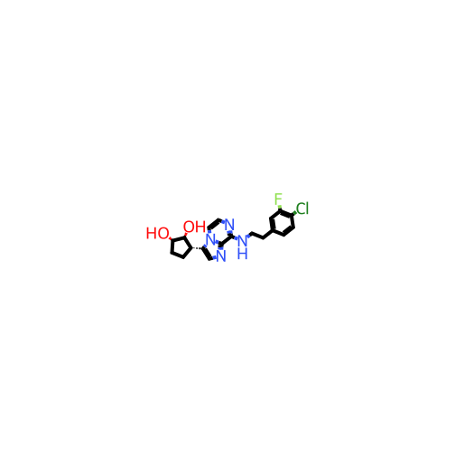 O[C@@H]1[C@H](O)CC[C@H]1c1cnc2c(NCCc3ccc(Cl)c(F)c3)nccn12